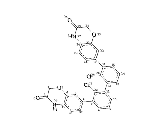 O=C1COc2cc(-c3cccc(-c4cccc(-c5ccc6c(c5)OCC(=O)N6)c4Cl)c3Cl)ccc2N1